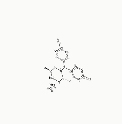 C[C@@H]1CN[C@@H](C)CN1C(c1ccc(Cl)cn1)c1ccc(Cl)cn1.Cl.Cl